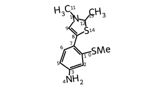 CSc1cc(N)ccc1C1=CN(C)C(C)S1